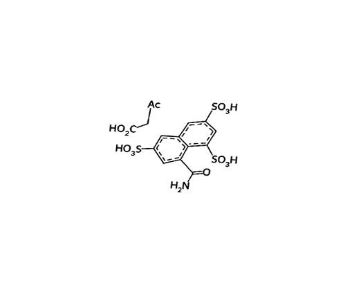 CC(=O)CC(=O)O.NC(=O)c1cc(S(=O)(=O)O)cc2cc(S(=O)(=O)O)cc(S(=O)(=O)O)c12